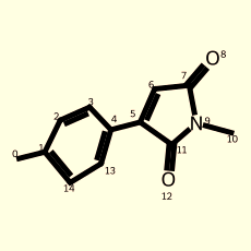 Cc1ccc(C2=CC(=O)N(C)C2=O)cc1